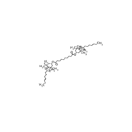 CCCCCCCC(I)ON1C(C)(C)CC(OC(=O)CCCCCCCCC(=O)OC2CC(C)(C)N(OC(I)CCCCCCC)C(C)(C)C2)CC1(C)C